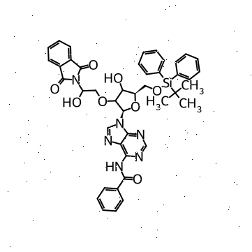 CC(C)(C)[Si](OC[C@H]1O[C@@H](n2cnc3c(NC(=O)c4ccccc4)ncnc32)C(OCC(O)N2C(=O)c3ccccc3C2=O)C1O)(c1ccccc1)c1ccccc1